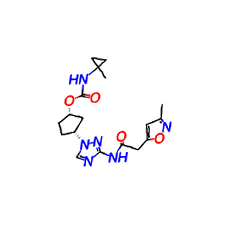 Cc1cc(CC(=O)Nc2ncn([C@@H]3CC[C@H](OC(=O)NC4(C)CC4)C3)n2)on1